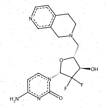 Nc1ccn([C@@H]2O[C@H](CN3CCc4ccncc4C3)[C@@H](O)C2(F)F)c(=O)n1